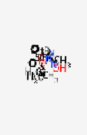 CC(=NO)c1ncc(C(O[SiH](c2ccccc2)c2ccccc2)C(C)(C)C)n1COCC[Si](C)(C)C